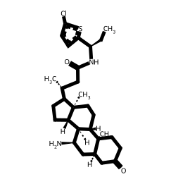 CC[C@@H](NC(=O)C[C@@H](C)C1CC[C@H]2[C@@H]3[C@H](N)C[C@@H]4CC(=O)CC[C@]4(C)[C@H]3CC[C@]12C)c1ccc(Cl)s1